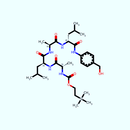 CC(C)C[C@H](NC(=O)[C@H](C)NC(=O)OCC[Si](C)(C)C)C(=O)N[C@@H](C)C(=O)N[C@H](CC(C)C)C(=O)Nc1ccc(CO)cc1